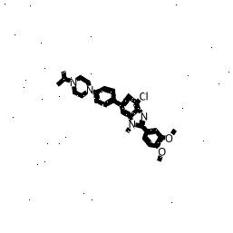 COc1ccc(-c2nc3c(Cl)cc(-c4ccc(N5CCN(C(C)C)CC5)cc4)cc3n2C)cc1OC